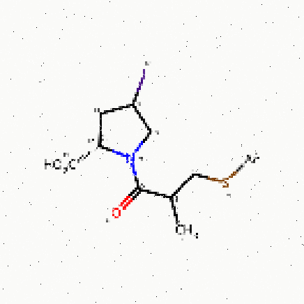 CC(=O)SCC(C)C(=O)N1CC(I)C[C@H]1C(=O)O